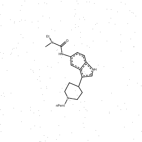 CCCCCN1CCC(c2c[nH]c3ccc(NC(=O)N(C)CC)cc23)CC1